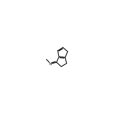 CN=C1CCC2=C1C=CC2